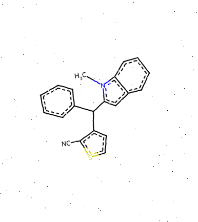 Cn1c(C(c2ccccc2)c2ccsc2C#N)cc2ccccc21